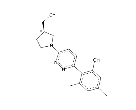 Cc1cc(C)c(-c2ccc(N3CC[C@@H](CO)C3)nn2)c(O)c1